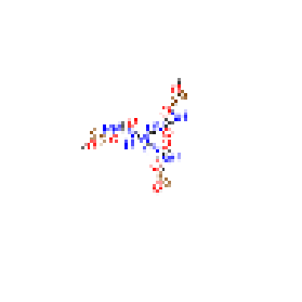 CCOC(=S)SCC(=O)NC(C)(C)C(=O)NCCN(CCNC(=O)C(C)(C)NC(=O)CSC(=S)OCC)CCNC(=O)C(C)(C)NC(=O)CSC(=S)OCC